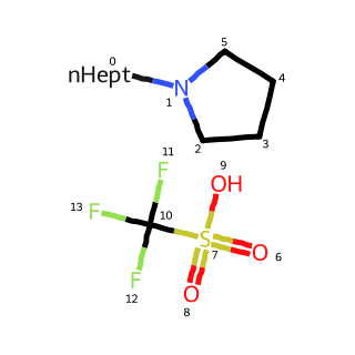 CCCCCCCN1CCCC1.O=S(=O)(O)C(F)(F)F